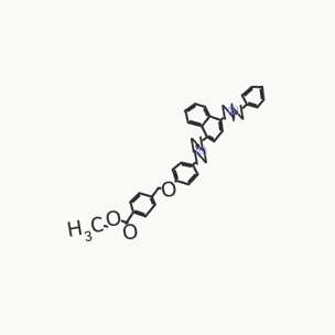 CCOC(=O)c1ccc(COc2ccc(/N=N/c3ccc(/N=N/c4ccccc4)c4ccccc34)cc2)cc1